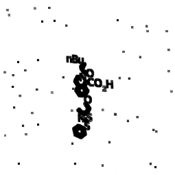 CCCCC=CC(=O)N1CCc2ccc(OCCc3sc(Sc4ccccc4)nc3C)cc2C1C(=O)O